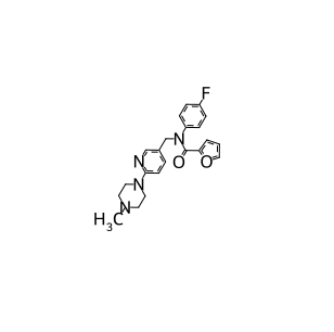 CN1CCN(c2ccc(CN(C(=O)c3ccco3)c3ccc(F)cc3)cn2)CC1